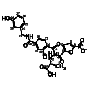 C[C@H](NN(C(=O)c1ccc([N+](=O)[O-])o1)C(=O)c1ccc(C(=O)NCc2cccc(O)c2)cc1Cl)C(=O)O